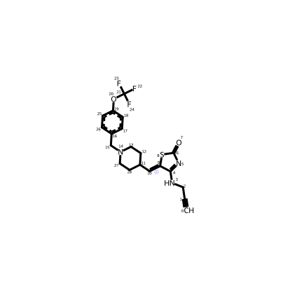 C#CCNC1=NC(=O)S/C1=C\C1CCN(Cc2ccc(OC(F)(F)F)cc2)CC1